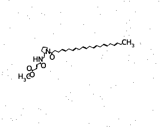 CCC=CCC=CCC=CCC=CCC=CCC=CCCC(=O)N1CCCC1CNC(=O)C=CC(=O)OC